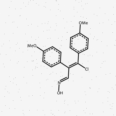 COc1ccc(C(Cl)=C(C=NO)c2ccc(OC)cc2)cc1